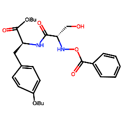 CC(C)COC(=O)[C@H](Cc1ccc(OCC(C)C)cc1)NC(=O)[C@H](CO)NOC(=O)c1ccccc1